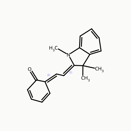 CN1/C(=C\C=C2/C=CC=CC2=O)C(C)(C)c2ccccc21